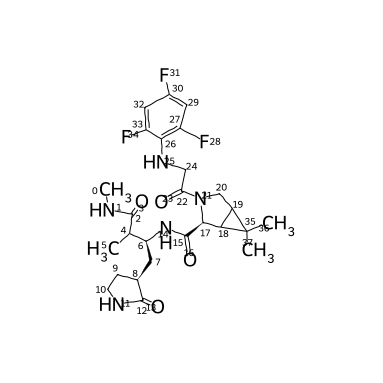 CNC(=O)C(C)[C@H](C[C@@H]1CCNC1=O)NC(=O)[C@@H]1C2C(CN1C(=O)CNc1c(F)cc(F)cc1F)C2(C)C